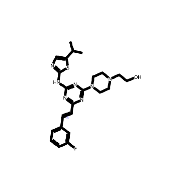 CC(C)c1cnc(Nc2nc(/C=C/c3cccc(F)c3)nc(N3CCN(CCO)CC3)n2)s1